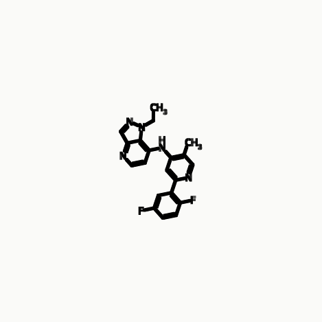 CCn1ncc2nccc(Nc3cc(-c4cc(F)ccc4F)ncc3C)c21